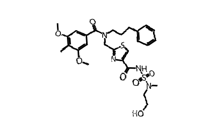 COc1cc(C(=O)N(CCCc2ccccc2)Cc2nc(C(=O)NS(=O)(=O)N(C)CCO)cs2)cc(OC)c1C